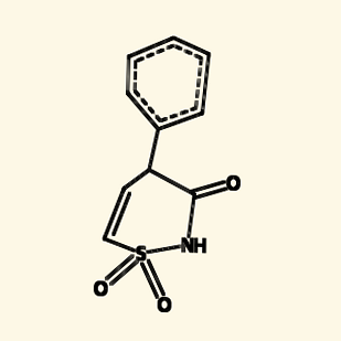 O=C1NS(=O)(=O)C=CC1c1ccccc1